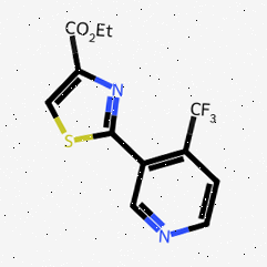 CCOC(=O)c1csc(-c2cnccc2C(F)(F)F)n1